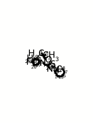 CC(C)(C)C(=O)N(Cc1csc(N2CCCCCCC2)n1)c1ccc(F)cc1